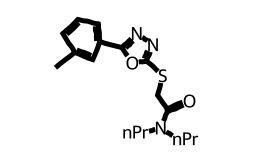 CCCN(CCC)C(=O)CSc1nnc(-c2cccc(C)c2)o1